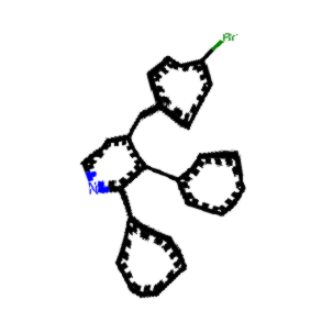 Brc1ccc(-c2ccnc(-c3ccccc3)c2-c2ccccc2)cc1